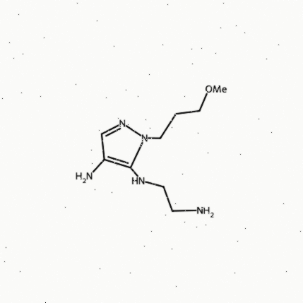 COCCCn1ncc(N)c1NCCN